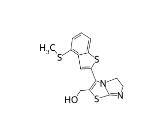 CSc1cccc2sc(C3=C(CO)SC4=NCCN43)cc12